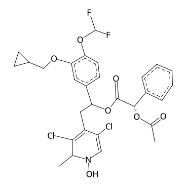 CC(=O)O[C@H](C(=O)OC(CC1=C(Cl)C(C)N(O)C=C1Cl)c1ccc(OC(F)F)c(OCC2CC2)c1)c1ccccc1